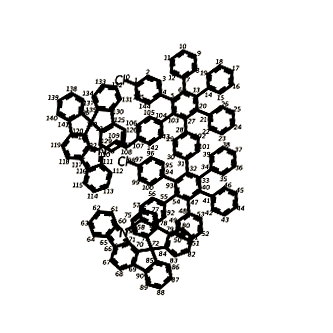 Clc1ccc(-c2c(-c3ccccc3)c(-c3ccccc3)c(-c3ccccc3)c(-c3ccc(-c4c(-c5ccccc5)c(-c5ccccc5)c(-c5ccccc5)c(-c5ccc(-n6c7ccccc7c7ccc8c(c76)C6(c7ccccc7-c7ccccc76)c6ccccc6-8)cc5)c4-c4ccc(Cl)cc4)cc3)c2-c2ccc(C=Cn3c4ccccc4c4ccc5c(c43)C3(C4=C(C=CCC4)c4ccccc43)c3ccccc3-5)cc2)cc1